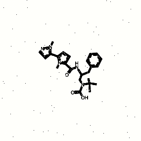 Cn1nccc1-c1ccc(C(=O)NC(Cc2ccccc2)CN(C(=O)O)C(C)(C)C)n1C